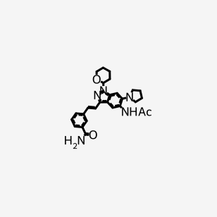 CC(=O)Nc1cc2c(C=Cc3cccc(C(N)=O)c3)nn(C3CCCCO3)c2cc1N1CCCC1